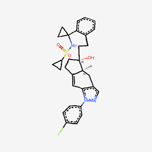 C[C@]12Cc3cnn(-c4ccc(F)cc4)c3C=C1CC[C@@]2(O)CCc1ccccc1C1(NS(=O)(=O)C2CC2)CC1